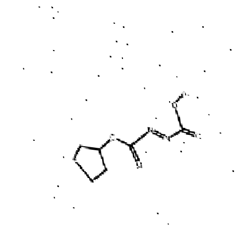 CC(C)OC(=O)N=NC(=O)OC1CCCC1